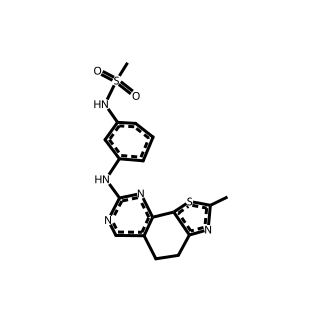 Cc1nc2c(s1)-c1nc(Nc3cccc(NS(C)(=O)=O)c3)ncc1CC2